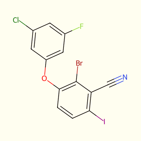 N#Cc1c(I)ccc(Oc2cc(F)cc(Cl)c2)c1Br